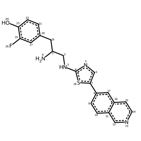 NC(CNc1ncc(-c2ccc3cnccc3c2)s1)Cc1ccc(O)c(F)c1